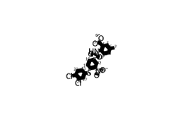 COC(=O)c1cc(C)ccc1NS(=O)(=O)c1ccc(Sc2ccc(Cl)c(Cl)c2)c([N+](=O)[O-])c1